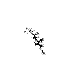 [2H]C([2H])([C@H](C)O[Si](C)(C)C)n1ncc(C(=O)OCC)c1C(F)(F)F